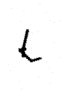 CCCCCCCC/C=C\CCCCCCCC(=O)OCC(CO)OPC(=O)CCCCCCCCCCCCCCCCC